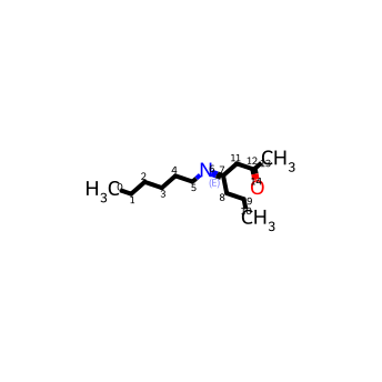 CCCCCC/N=C(\CCC)CC(C)=O